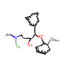 COc1ccccc1OC(c1ccccc1)C(O)CN(Cl)C(C)=O